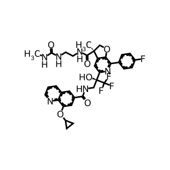 CNC(=O)NCCNC(=O)[C@@]1(C)COc2c1cc([C@@](O)(CNC(=O)c1cc(OC3CC3)c3ncccc3c1)C(F)(F)F)nc2-c1ccc(F)cc1